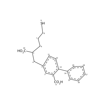 O=C(O)c1cc(CC(CCCS)C(=O)O)ccc1-c1ccccc1